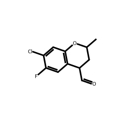 CC1CC(C=O)c2cc(F)c(Cl)cc2O1